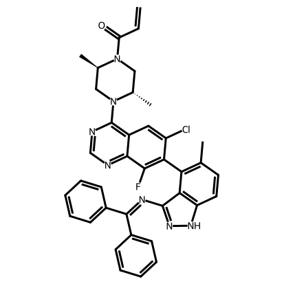 C=CC(=O)N1C[C@H](C)N(c2ncnc3c(F)c(-c4c(C)ccc5[nH]nc(N=C(c6ccccc6)c6ccccc6)c45)c(Cl)cc23)C[C@H]1C